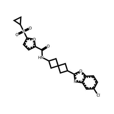 O=C(NC1CC2(C1)CC(c1nc3cc(Cl)ccc3o1)C2)c1ccc(S(=O)(=O)C2CC2)o1